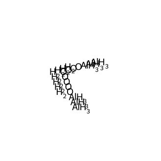 O.O.O.O.O.O.O.O.[AlH3].[AlH3].[AlH3].[AlH3].[AlH3].[AlH3]